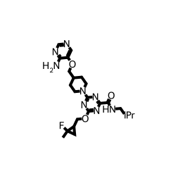 CC(C)CNC(=O)c1nc(OCC2CC2(C)F)nc(N2CCC(COc3cncnc3N)CC2)n1